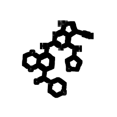 N#Cc1c[nH]c2nc(Nc3ccc(C(=O)N4CCOCC4)c4c3OCCO4)nc(NC3CCOC3)c12